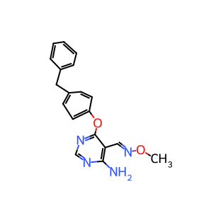 CON=Cc1c(N)ncnc1Oc1ccc(Cc2ccccc2)cc1